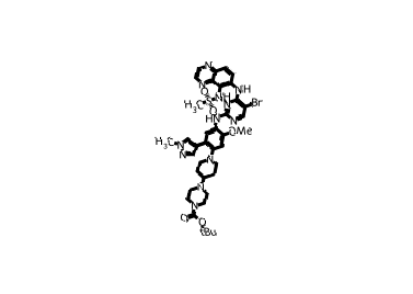 COc1cc(N2CCC(N3CCN(C(=O)OC(C)(C)C)CC3)CC2)c(-c2cnn(C)c2)cc1Nc1ncc(Br)c(Nc2ccc3nccnc3c2NS(C)(=O)=O)n1